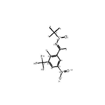 CC(=N[S+]([O-])C(C)(C)C)c1cc([N+](=O)[O-])cc(C(F)(F)F)c1C